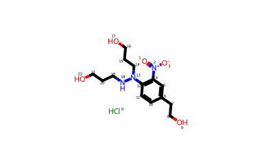 Cl.O=[N+]([O-])c1cc(CCO)ccc1N(CCCO)NCCCO